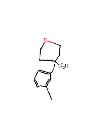 Cc1cccc(C2(C(=O)O)CCOCC2)c1